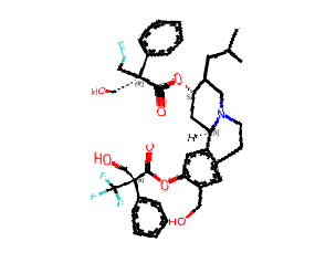 CC(C)CC1CN2CCc3cc(CO)c(OC(=O)[C@](CO)(c4ccccc4)C(F)(F)F)cc3[C@H]2C[C@@H]1OC(=O)[C@@](CO)(CF)c1ccccc1